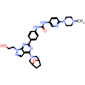 CN1CCN(c2ccc(NC(=O)Nc3ccc(-c4nc(N5CC6CCC(C5)O6)c5cnn(CCO)c5n4)cc3)cn2)CC1